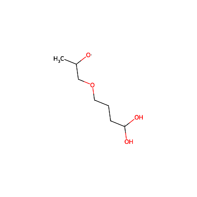 CC([O])COCCC[C](O)O